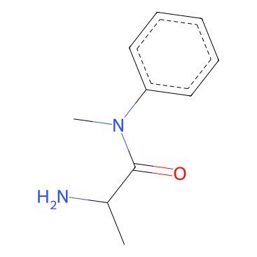 CC(N)C(=O)N(C)c1ccccc1